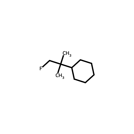 CC(C)(CF)C1CCCCC1